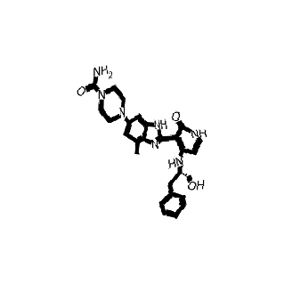 Cc1cc(N2CCN(C(N)=O)CC2)cc2[nH]c(-c3c(N[C@H](CO)Cc4ccccc4)cc[nH]c3=O)nc12